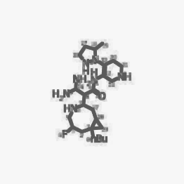 CCCCC12CC(F)CNC(C(C(=O)NC3=C(N4NCCC4C)CCNC3)C(N)N)CC1C2